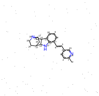 Cc1ccc(C=Cc2cccc3c2NC2C4CCN(CC4)CC32)cn1